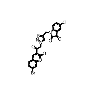 O=C1C(=O)N(Cc2cn(CC(=O)c3cc4ccc(Br)cc4oc3=O)nn2)c2ccc(Cl)cc21